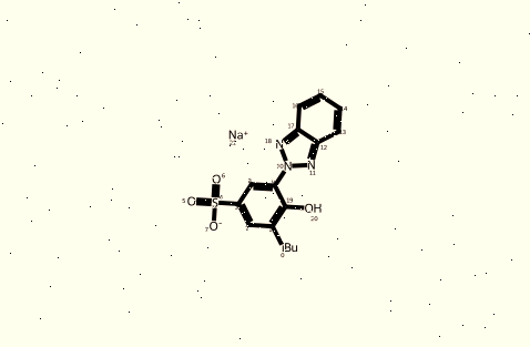 CCC(C)c1cc(S(=O)(=O)[O-])cc(-n2nc3ccccc3n2)c1O.[Na+]